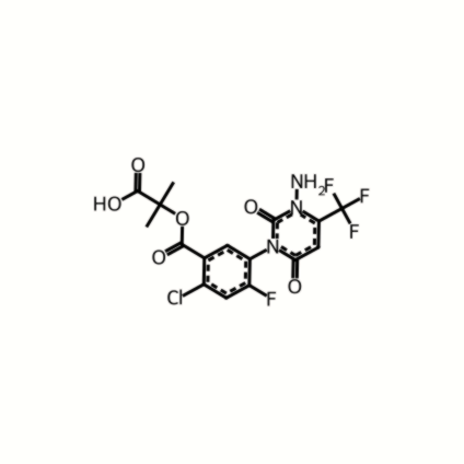 CC(C)(OC(=O)c1cc(-n2c(=O)cc(C(F)(F)F)n(N)c2=O)c(F)cc1Cl)C(=O)O